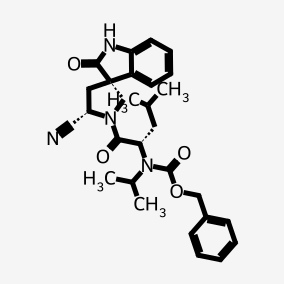 CC(C)C[C@@H](C(=O)N1C[C@]2(C[C@H]1C#N)C(=O)Nc1ccccc12)N(C(=O)OCc1ccccc1)C(C)C